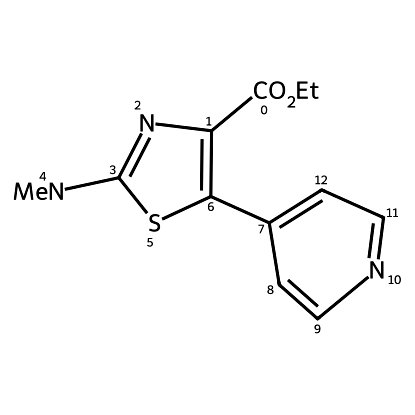 CCOC(=O)c1nc(NC)sc1-c1ccncc1